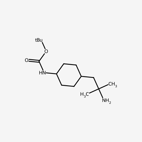 CC(C)(N)CC1CCC(NC(=O)OC(C)(C)C)CC1